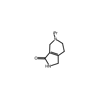 CC(C)N1CCC2=C(C1)C(=O)NC2